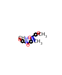 COc1ccc(CNC(=O)c2ccc3c(c2)C(=O)N(Cc2ccc(OC)cc2)CN3C)cc1